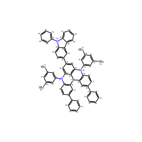 CC(C)(C)c1cc(N2c3ccc(-c4ccccc4)cc3B3c4cc(-c5ccccc5)ccc4N(c4cc(C(C)(C)C)cc(C(C)(C)C)c4)c4cc(-c5ccc6c(c5)c5ccccc5n6-c5ccccc5)cc2c43)cc(C(C)(C)C)c1